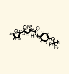 O=C(Nc1ccc(OC(F)(F)F)cc1)c1cc(-c2ccco2)on1